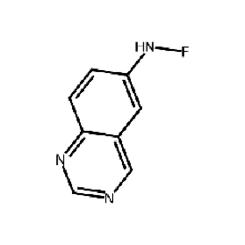 FNc1ccc2ncncc2c1